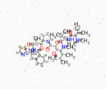 CCC(C)C(C(CC(=O)N1CCC[C@H]1C(OC)C(C)C(=O)NC(Cc1ccccc1)c1nccs1)OC)N(C)C(=O)C(NC(=O)C(C(C)C)N(C)C)C(C)C